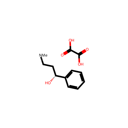 CNCC[C@@H](O)c1ccccc1.O=C(O)C(=O)O